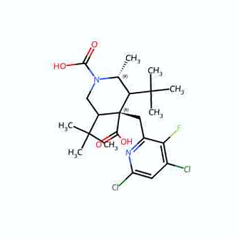 C[C@@H]1C(C(C)(C)C)[C@](Cc2nc(Cl)cc(Cl)c2F)(C(=O)O)C(C(C)(C)C)CN1C(=O)O